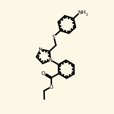 CCOC(=O)c1ccccc1-n1ccnc1CSc1ccc(N)cc1